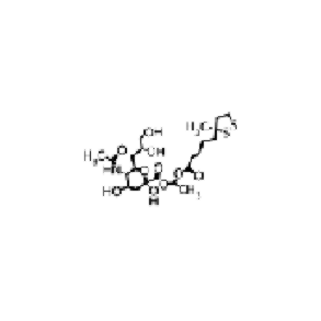 CC(=O)N[C@H]1C(C[C@H](O)CO)O[C@@](O)(C(=O)OC(C)OC(=O)CCCC[C@]2(C)CCSS2)C[C@H]1O